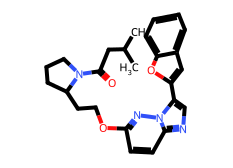 CC(C)CC(=O)N1CCCC1CCOc1ccc2ncc(-c3cc4ccccc4o3)n2n1